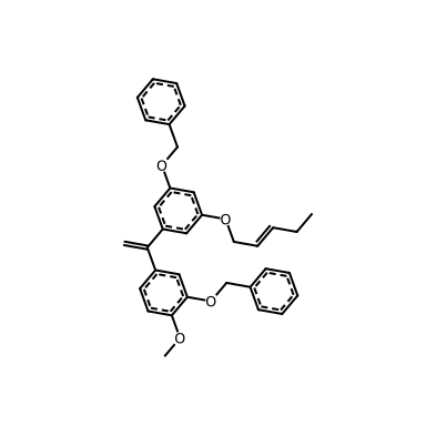 C=C(c1cc(OC/C=C/CC)cc(OCc2ccccc2)c1)c1ccc(OC)c(OCc2ccccc2)c1